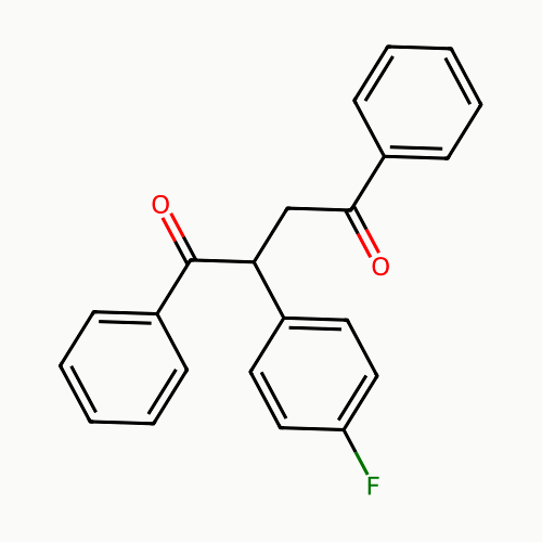 O=C(CC(C(=O)c1ccccc1)c1ccc(F)cc1)c1ccccc1